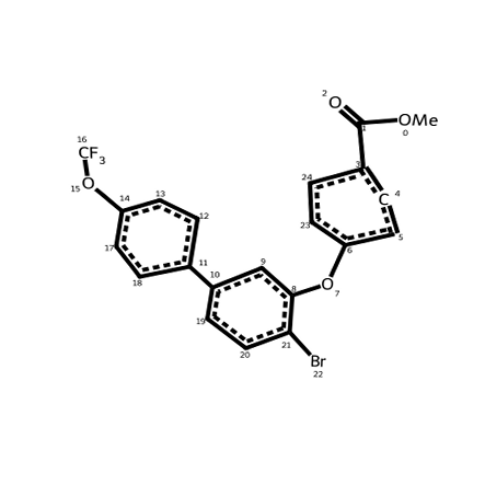 COC(=O)c1ccc(Oc2cc(-c3ccc(OC(F)(F)F)cc3)ccc2Br)cc1